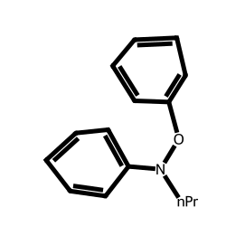 CCCN(Oc1ccccc1)c1ccccc1